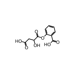 O=C(O)CC(O)C(=O)Oc1ccccc1C(=O)O